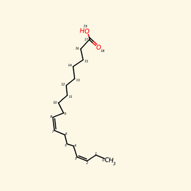 CC/C=C\CCC/C=C\CCCCCCCCC(=O)O